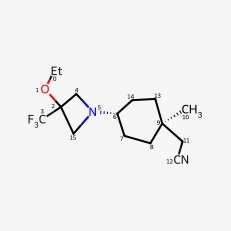 CCOC1(C(F)(F)F)CN([C@H]2CC[C@](C)(CC#N)CC2)C1